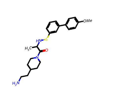 COc1ccc(-c2cccc(SNC(C)C(=O)N3CCC(CCN)CC3)c2)cc1